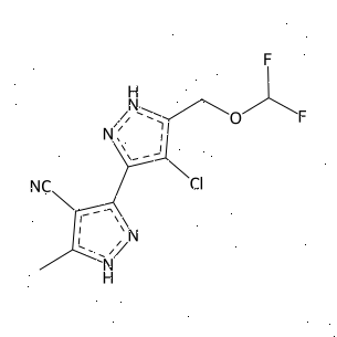 Cc1[nH]nc(-c2n[nH]c(COC(F)F)c2Cl)c1C#N